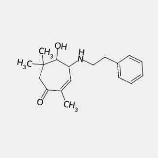 CC1=CC(NCCc2ccccc2)C(O)C(C)(C)CC1=O